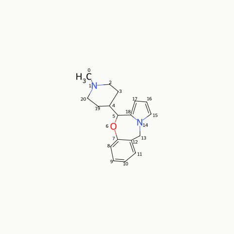 CN1CCC(C2Oc3ccccc3Cn3cccc32)CC1